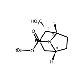 CC(C)(C)OC(=O)N1[C@@H]2CC[C@H]1[C@@H](C(=O)O)NC2